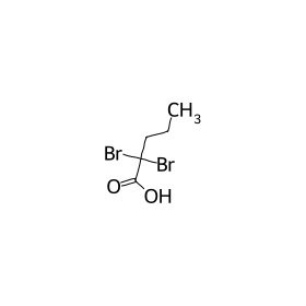 CCCC(Br)(Br)C(=O)O